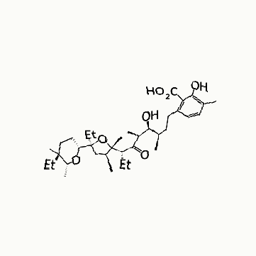 CC[C@@H](C(=O)[C@@H](C)[C@@H](O)[C@H](C)CCc1ccc(C)c(O)c1C(=O)O)[C@@]1(C)O[C@](CC)([C@H]2CC[C@](C)(CC)[C@@H](C)O2)C[C@@H]1C